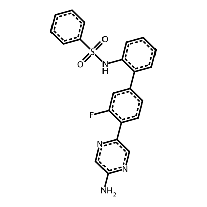 Nc1cnc(-c2ccc(-c3ccccc3NS(=O)(=O)c3ccccc3)cc2F)cn1